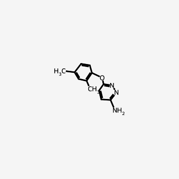 Cc1ccc(Oc2ccc(N)nn2)c(C)c1